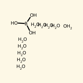 O.O.O.O.O.O.O.O.O.O.OB(O)O